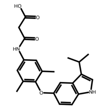 Cc1cc(NC(=O)CC(=O)O)cc(C)c1Oc1ccc2[nH]cc(C(C)C)c2c1